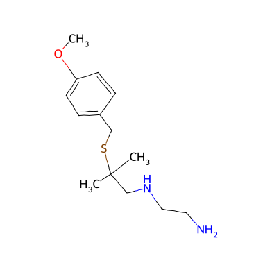 COc1ccc(CSC(C)(C)CNCCN)cc1